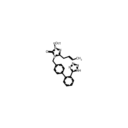 CC=CCc1nn(CCCCCCCC)c(=O)n1Cc1ccc(-c2ccccc2-c2nnn[nH]2)cc1